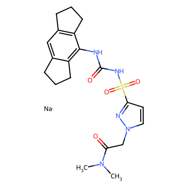 CN(C)C(=O)Cn1ccc(S(=O)(=O)NC(=O)Nc2c3c(cc4c2CCC4)CCC3)n1.[Na]